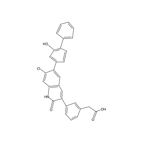 O=C(O)Cc1cccc(-c2cc3cc(-c4ccc(-c5ccccc5)c(O)c4)c(Cl)cc3[nH]c2=O)c1